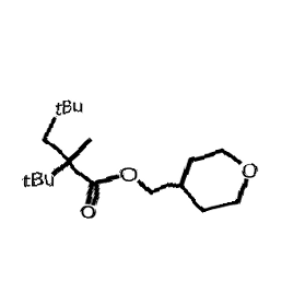 CC(C)(C)CC(C)(C(=O)OCC1CCOCC1)C(C)(C)C